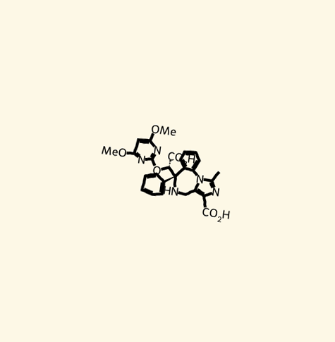 COc1cc(OC)nc(O[C@H](C(=O)O)[C@@]2(c3ccccc3)NCc3c(C(=O)O)nc(C)n3-c3ccccc32)n1